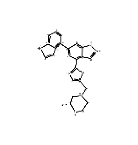 C[C@@H]1CN(Cc2cnc(-c3cc(-c4cccc5[nH]ccc45)cc4[nH]ncc34)o2)CCO1